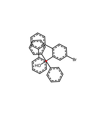 OC(c1ccccc1)(c1ccccc1)c1cc(Br)ccc1-c1ccccc1-c1ccccc1